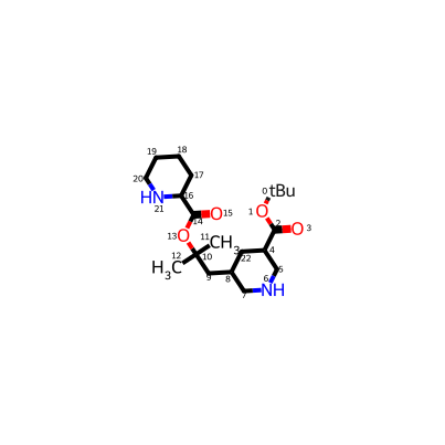 CC(C)(C)OC(=O)C1CNCC(CC(C)(C)OC(=O)C2CCCCN2)C1